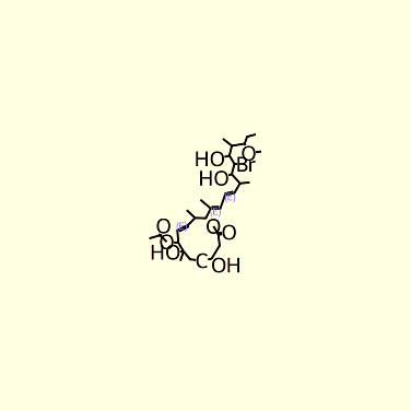 CCC(OC)C(C)C(O)C(Br)C(O)C(C)/C=C/C=C(\C)C1OC(=O)CC(O)CCC(C)(O)C(OC(C)=O)/C=C/C1C